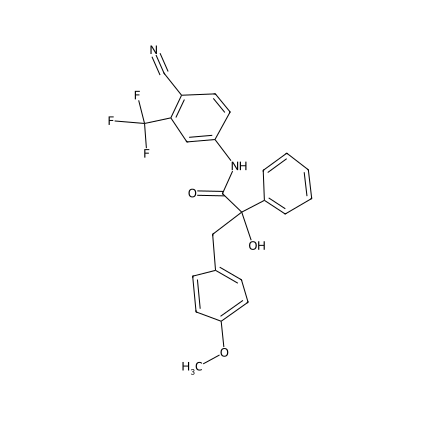 COc1ccc(CC(O)(C(=O)Nc2ccc(C#N)c(C(F)(F)F)c2)c2ccccc2)cc1